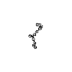 CC1(C)c2ccccc2-c2ccc(-c3ccc(N(c4ccccc4)c4ccc(-c5ccc(-c6ccc7oc8ccc9ccccc9c8c7c6)cc5)cc4)cc3)cc21